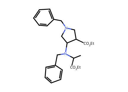 CCOC(=O)C1CN(Cc2ccccc2)CC1N(Cc1ccccc1)C(C)C(=O)OCC